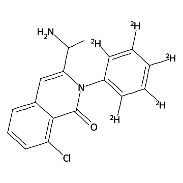 [2H]c1c([2H])c([2H])c(-n2c(C(C)N)cc3cccc(Cl)c3c2=O)c([2H])c1[2H]